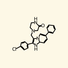 O=C1CN(CC2=C(c3ccc(Cl)cc3)NC3C=CC(c4ccccc4)=CN23)CCN1